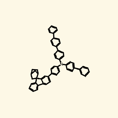 c1ccc(-c2ccc(-c3ccc(N(c4ccc(-c5ccccc5)cc4)c4ccc(-c5ccc6c(c5)C5(CC7CCC5C7)c5ccccc5-6)cc4)cc3)cc2)cc1